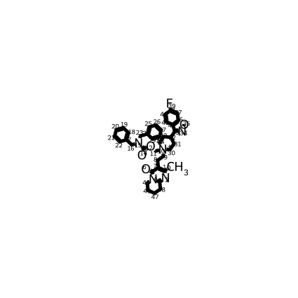 Cc1nc2n(c(=O)c1CC[N+]1(COC(=O)N(Cc3ccccc3)Cc3ccccc3)CCC(c3noc4cc(F)ccc34)CC1)CCCC2